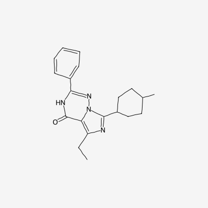 CCc1nc(C2CCC(C)CC2)n2nc(-c3ccccc3)[nH]c(=O)c12